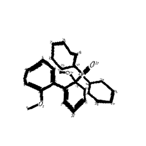 COc1ccccc1C1=CC=CCC1(OC)P(=O)(C1CCCCC1)C1CCCCC1